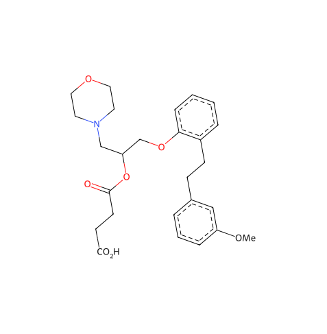 COc1cccc(CCc2ccccc2OCC(CN2CCOCC2)OC(=O)CCC(=O)O)c1